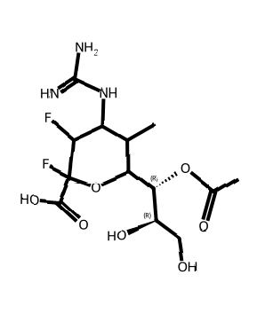 CC(=O)O[C@@H](C1OC(F)(C(=O)O)C(F)C(NC(=N)N)C1C)[C@H](O)CO